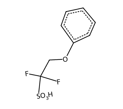 O=S(=O)(O)C(F)(F)COc1ccccc1